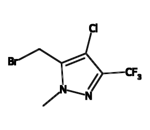 Cn1nc(C(F)(F)F)c(Cl)c1CBr